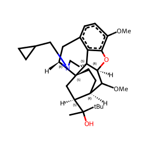 COc1ccc2c3c1O[C@H]1C(OC)[C@@H]4CC[C@@]5(C[C@@H]4C(C)(O)C(C)(C)C)[C@@H](C2)N(CC2CC2)CC[C@]315